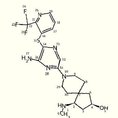 CN[C@@H]1C[C@H](O)CC12CCN(c1cnc(Sc3cccnc3C(F)(F)F)c(N)n1)CC2